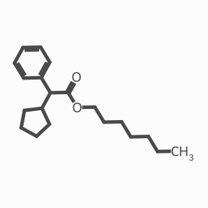 CCCCCCCOC(=O)C(c1ccccc1)C1CCCC1